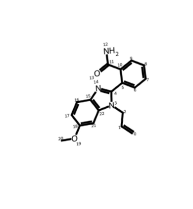 C=CCn1c(-c2ccccc2C(N)=O)nc2ccc(OC)cc21